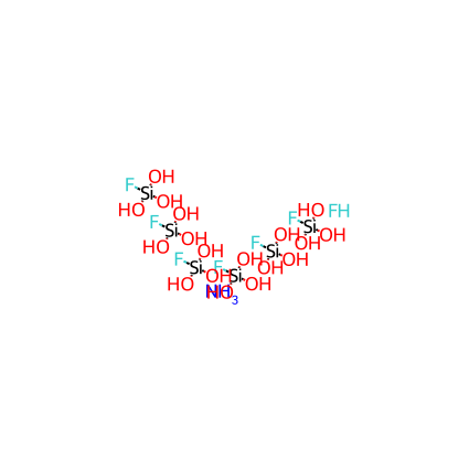 F.N.O[Si](O)(O)F.O[Si](O)(O)F.O[Si](O)(O)F.O[Si](O)(O)F.O[Si](O)(O)F.O[Si](O)(O)F